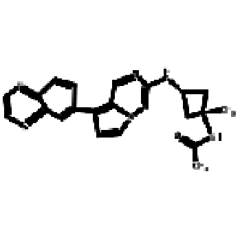 CC(=O)N[C@]1(C)C[C@@H](Nc2ncc3c(-c4ccc5nccnc5c4)ccn3n2)C1